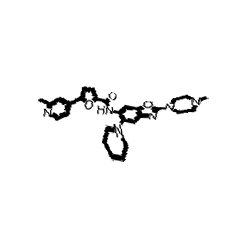 Cc1cc(-c2ccc(C(=O)Nc3cc4oc(N5CCN(C)CC5)nc4cc3N3CCCCC3)o2)ccn1